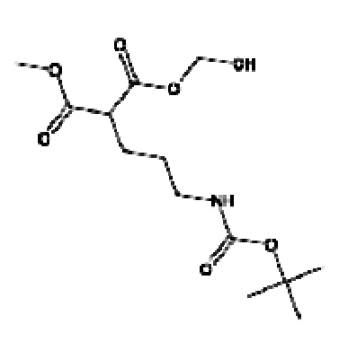 COC(=O)C(CCCNC(=O)OC(C)(C)C)C(=O)OCO